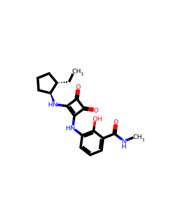 CC[C@H]1CCC[C@@H]1Nc1c(Nc2cccc(C(=O)NC)c2O)c(=O)c1=O